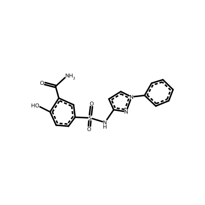 NC(=O)c1cc(S(=O)(=O)Nc2ccn(-c3ccccc3)n2)ccc1O